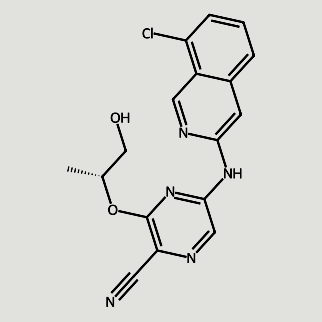 C[C@H](CO)Oc1nc(Nc2cc3cccc(Cl)c3cn2)cnc1C#N